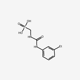 CCc1cccc(NC(=O)NCP(=O)(O)O)c1